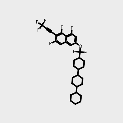 Fc1cc2cc(OC(F)(F)C3CCC(C4CCC(C5CCCCC5)CC4)CC3)cc(F)c2c(F)c1C#CC(F)(F)F